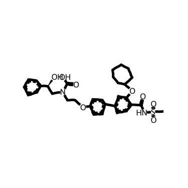 CS(=O)(=O)NC(=O)c1ccc(-c2ccc(OCCN(C[C@H](O)c3ccccc3)C(=O)O)cc2)cc1OC1CCCCCC1